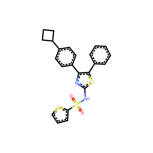 O=S(=O)(Nc1nc(-c2ccc(C3CCC3)cc2)c(-c2ccccc2)s1)c1cccs1